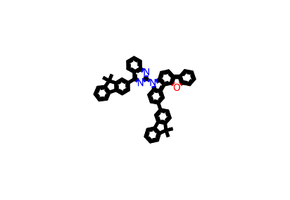 CC1(C)c2ccccc2-c2cc(-c3ccc4c(c3)c3c5oc6ccccc6c5ccc3n4-c3nc(-c4ccc5c(c4)C(C)(C)c4ccccc4-5)c4ccccc4n3)ccc21